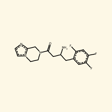 NC(CC(=O)N1CCn2ccnc2C1)Cc1cc(F)c(F)cc1F